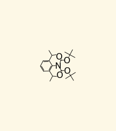 CC(C)c1cccc(C(C)C)c1N(C(=O)OC(C)(C)C)C(=O)OC(C)(C)C